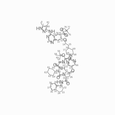 Cc1[nH]nc(Nc2ncnc3cc(OCCC4CCN(c5ncc(O[C@H]6C[C@@H](C(=O)N[C@@H]7CCCc8ccccc87)N(C(=O)[C@@H](NC(=O)[C@H](C)N(C)C(=O)OC(C)(C)C)C7CCCCC7)C6)cn5)CC4)c(S(=O)(=O)C(C)(C)C)cc23)c1C